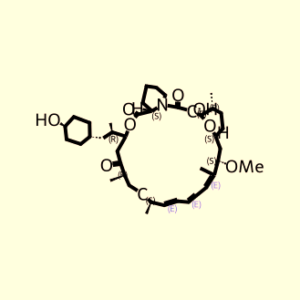 CO[C@H]1C[C@@H]2CC[C@@H](C)[C@](O)(CC(=O)N3CCCC[C@H]3C(=O)OC([C@H](C)C[C@H]3CC[C@H](O)CC3)CC(=O)[C@H](C)CC[C@H](C)/C=C/C=C/C=C/1C)O2